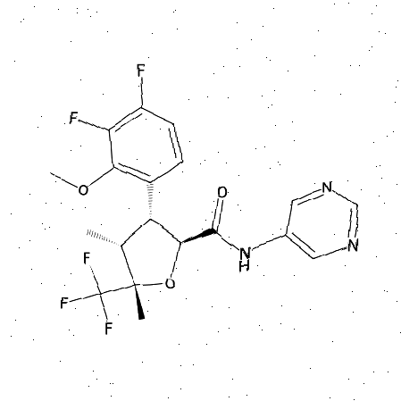 COc1c([C@@H]2[C@@H](C(=O)Nc3cncnc3)O[C@](C)(C(F)(F)F)[C@@H]2C)ccc(F)c1F